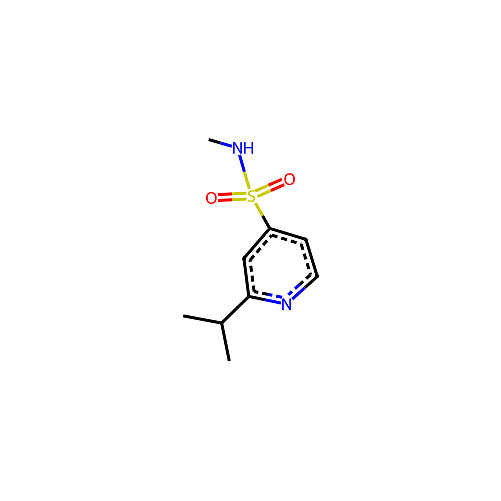 CNS(=O)(=O)c1ccnc(C(C)C)c1